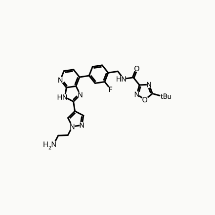 CC(C)(C)c1nc(C(=O)NCc2ccc(-c3ccnc4[nH]c(-c5cnn(CCN)c5)nc34)cc2F)no1